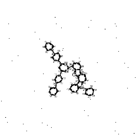 c1ccc(-c2ccc(-c3cc(-c4ccc(-c5ccccc5)cc4)nc(-c4cccc5c4oc4c5ccc5c4c4ccccc4n5-c4ccccc4)n3)cc2)cc1